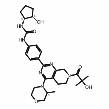 C[C@H]1COCCN1c1nc(-c2ccc(NC(=O)N[C@H]3CCC[C@@H]3O)cc2)nc2c1CCN(C(=O)C(C)(C)O)C2